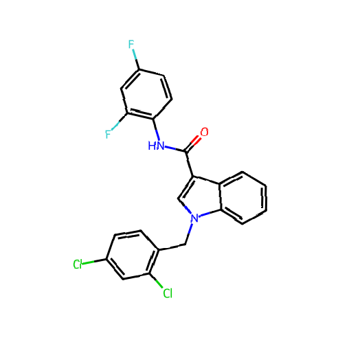 O=C(Nc1ccc(F)cc1F)c1cn(Cc2ccc(Cl)cc2Cl)c2ccccc12